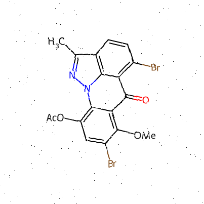 COc1c(Br)cc(OC(C)=O)c2c1c(=O)c1c(Br)ccc3c(C)nn2c31